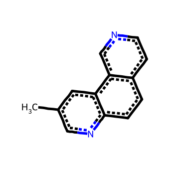 Cc1cnc2ccc3ccncc3c2c1